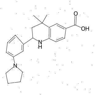 CC1(C)CC(c2cccc(N3CCCC3)c2)Nc2ccc(C(=O)O)cc21